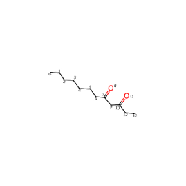 CCCCCCCC(=O)CC(=O)CC